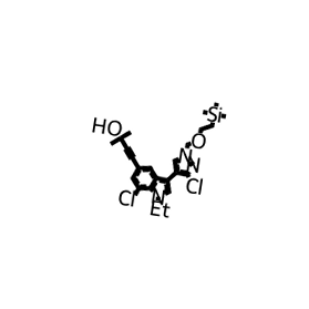 CCn1cc(-c2cn(COCC[Si](C)(C)C)nc2Cl)c2cc(C#CC(C)(C)O)cc(Cl)c21